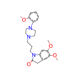 COc1cc2c(cc1OC)N(CCCN1CCN(c3ccccc3OC)CC1)C(=O)C2